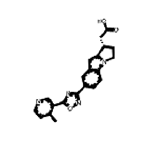 Cc1ccncc1-c1nc(-c2ccc3c(c2)cc2n3CC[C@H]2CC(=O)O)no1